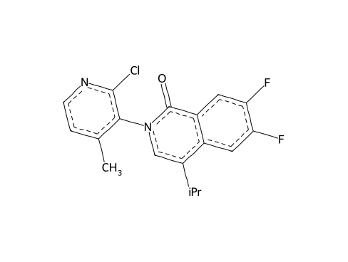 Cc1ccnc(Cl)c1-n1cc(C(C)C)c2cc(F)c(F)cc2c1=O